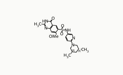 COc1cc2nc(C)[nH]c(=O)c2cc1S(=O)(=O)Nc1ccc(N2C[C@H](C)C[C@@H](C)C2)nc1